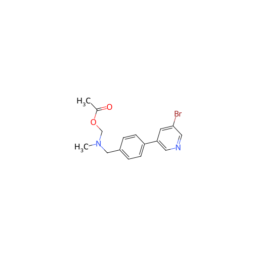 CC(=O)OCN(C)Cc1ccc(-c2cncc(Br)c2)cc1